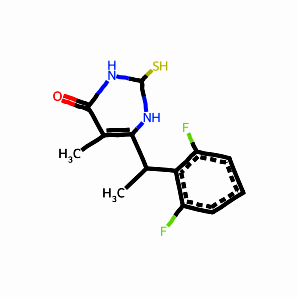 CC1=C(C(C)c2c(F)cccc2F)NC(S)NC1=O